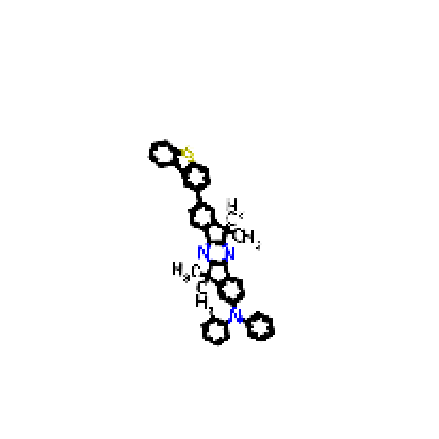 CC1(C)c2cc(-c3ccc4sc5ccccc5c4c3)ccc2-c2nc3c(nc21)-c1ccc(N(c2ccccc2)c2ccccc2)cc1C3(C)C